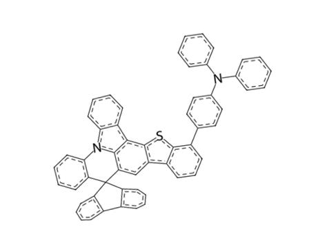 c1ccc(N(c2ccccc2)c2ccc(-c3cccc4c3sc3c4cc4c5c3c3ccccc3n5-c3ccccc3C43c4ccccc4-c4ccccc43)cc2)cc1